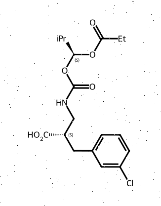 CCC(=O)O[C@@H](OC(=O)NC[C@H](Cc1cccc(Cl)c1)C(=O)O)C(C)C